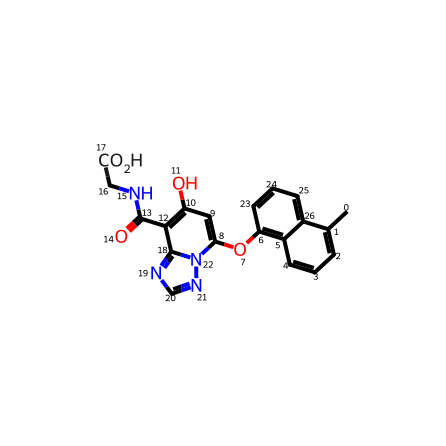 Cc1cccc2c(Oc3cc(O)c(C(=O)NCC(=O)O)c4ncnn34)cccc12